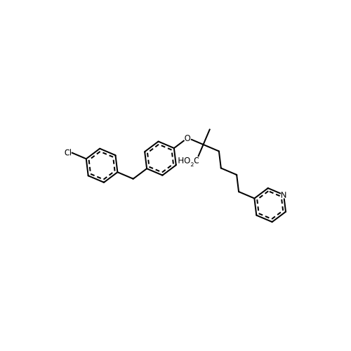 CC(CCCCc1cccnc1)(Oc1ccc(Cc2ccc(Cl)cc2)cc1)C(=O)O